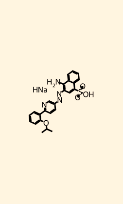 CC(C)Oc1ccccc1-c1ccc(N=Nc2cc(S(=O)(=O)O)c3ccccc3c2N)cn1.[NaH]